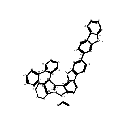 C=C(C)[C@H]1c2ccc3c(sc4cc(-c5ccc6c(c5)oc5ccccc56)ccc43)c2C2=[N+]1C1=C(CCCC1)C2c1ccccc1-c1ccccc1